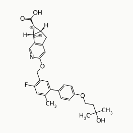 Cc1cc(F)c(COc2cc3c(cn2)[C@H]2[C@@H](C3)[C@@H]2C(=O)O)cc1-c1ccc(OCCC(C)(C)O)cc1